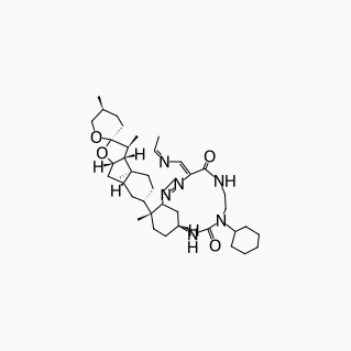 C\C=N/C=C1\N=N\[C@@]2(CC)C[C@@H](CC[C@]2(C)[C@H]2CC[C@@]3(C)[C@H](C2)C[C@@H]2O[C@]4(CC[C@H](C)CO4)[C@@H](C)[C@@H]23)NC(=O)N(C2CCCCC2)CCNC1=O